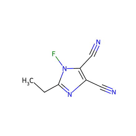 CCc1nc(C#N)c(C#N)n1F